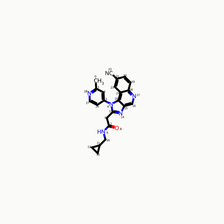 Cc1cc(-n2c(CC(=O)NCC3CC3)nc3cnc4ccc(C#N)cc4c32)ccn1